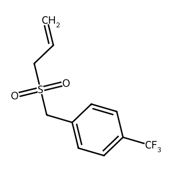 C=CCS(=O)(=O)Cc1ccc(C(F)(F)F)cc1